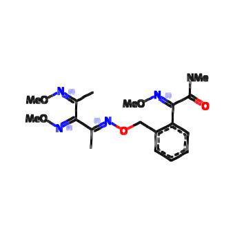 CNC(=O)/C(=N/OC)c1ccccc1CO/N=C(C)/C(=N/OC)C(/C)=N\OC